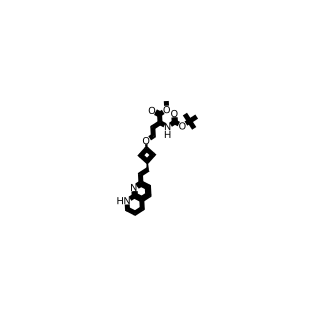 COC(=O)C(CCO[C@H]1C[C@@H](CCc2ccc3c(n2)NCCC3)C1)NC(=O)OC(C)(C)C